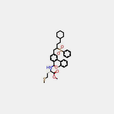 COC(=O)[C@H](CCSC)NC(=O)c1ccc(CC(CCC2CCCCC2)S(=O)(=O)c2ccccc2)cc1-c1ccccc1C